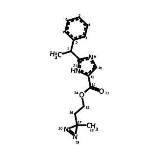 CC(c1ccccc1)c1ncc(C(=O)OCCC2(C)N=N2)[nH]1